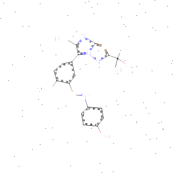 COc1ccc(-c2c(C)nc3sc(C(C)(C)O)nn23)cc1SNc1ccc(O)cc1